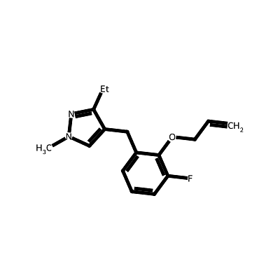 C=CCOc1c(F)cccc1Cc1cn(C)nc1CC